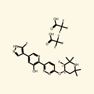 CC1(C)C[C@@H](Oc2ccc(-c3ncc(-c4cn[nH]c4F)cc3O)nn2)[C@@H](F)C(C)(C)N1.O=C(O)C(F)(F)F.O=C(O)C(F)(F)F